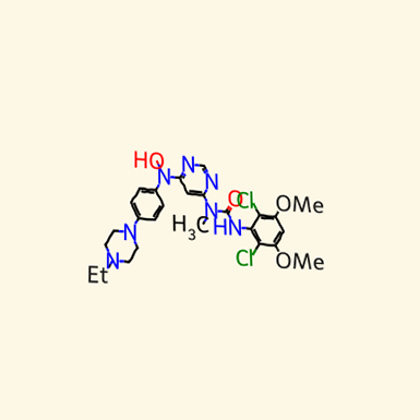 CCN1CCN(c2ccc(N(O)c3cc(N(C)C(=O)Nc4c(Cl)c(OC)cc(OC)c4Cl)ncn3)cc2)CC1